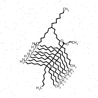 CCCCCCCC(CCCCCCC)CCCCCCC(CCCCCCC)(C(=O)OCC)C(CCCCCCC)(CCCCCCC)C(CCCCCCC)(CCCCCCC)C(CCCCCCC)(CCCCCCC)C(CCCCCCC)(CCCCCCC)C(CCCCCCC)(CCCCCCC)C(CCCCCCC)(CCCCCCC)C(CCCCCCC)(CCCCCCC)CCCCCCC